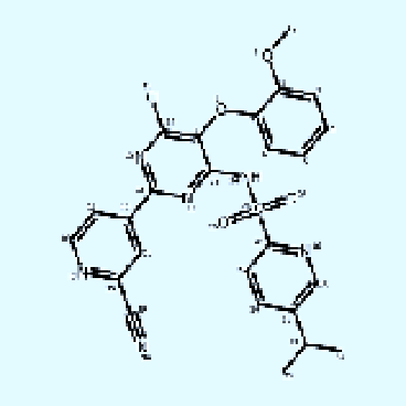 COc1ccccc1Oc1c(Cl)nc(-c2ccnc(C#N)c2)nc1NS(=O)(=O)c1ccc(C(C)C)cn1